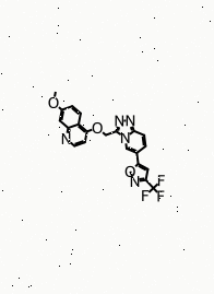 COc1ccc2c(OCc3nnc4ccc(-c5cc(C(F)(F)F)no5)cn34)ccnc2c1